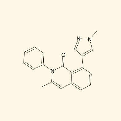 Cc1cc2cccc(-c3cnn(C)c3)c2c(=O)n1-c1ccccc1